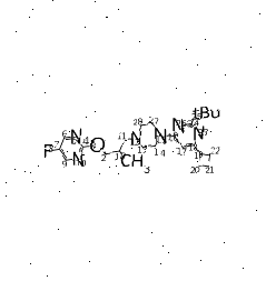 C[C@@H](COc1ncc(F)cn1)CN1CCN(c2cc(C3CCC3)nc(C(C)(C)C)n2)CC1